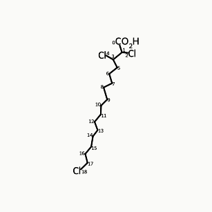 O=C(O)C(Cl)C(Cl)CCCCCCCCCCCCCCl